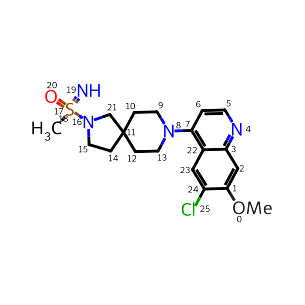 COc1cc2nccc(N3CCC4(CC3)CCN(S(C)(=N)=O)C4)c2cc1Cl